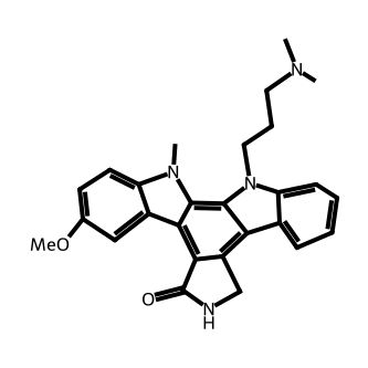 COc1ccc2c(c1)c1c3c(c4c5ccccc5n(CCCN(C)C)c4c1n2C)CNC3=O